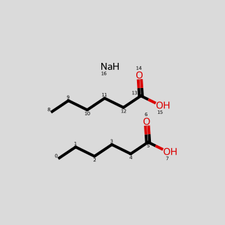 CCCCCC(=O)O.CCCCCC(=O)O.[NaH]